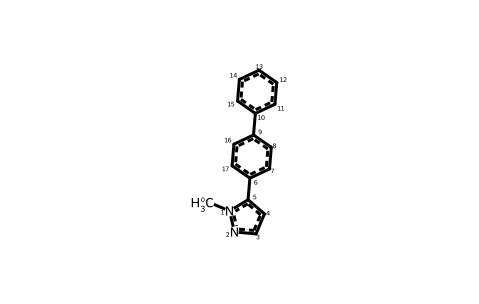 Cn1nccc1-c1ccc(-c2ccccc2)cc1